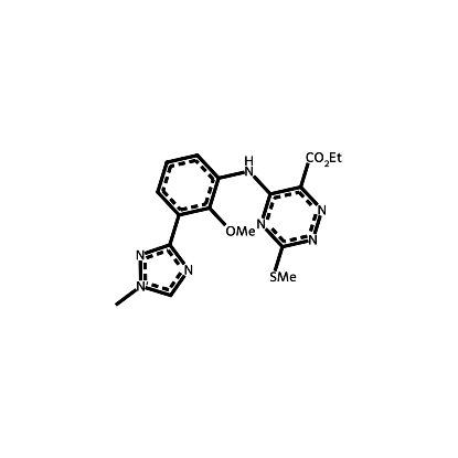 CCOC(=O)c1nnc(SC)nc1Nc1cccc(-c2ncn(C)n2)c1OC